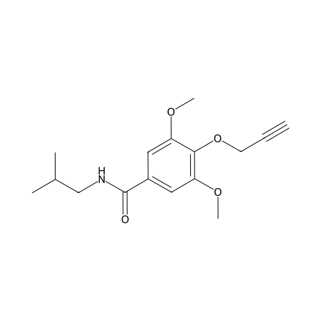 C#CCOc1c(OC)cc(C(=O)NCC(C)C)cc1OC